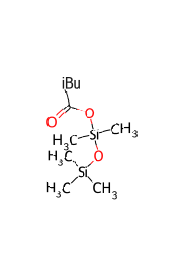 CCC(C)C(=O)O[Si](C)(C)O[Si](C)(C)C